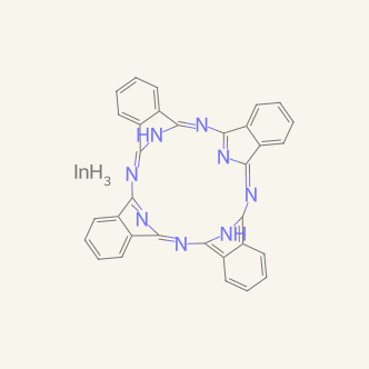 [InH3].c1ccc2c(c1)-c1nc-2nc2[nH]c(nc3nc(nc4[nH]c(n1)c1ccccc41)-c1ccccc1-3)c1ccccc21